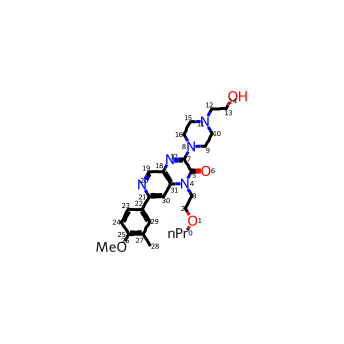 CCCOCCn1c(=O)c(N2CCN(CCO)CC2)nc2cnc(-c3ccc(OC)c(C)c3)cc21